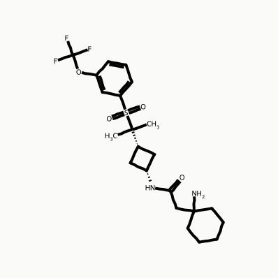 CC(C)([C@H]1C[C@@H](NC(=O)CC2(N)CCCCC2)C1)S(=O)(=O)c1cccc(OC(F)(F)F)c1